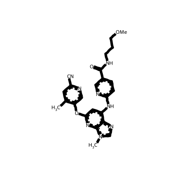 COCCCNC(=O)c1ccc(Nc2cc(Oc3cnc(C#N)cc3C)nc3c2ncn3C)nc1